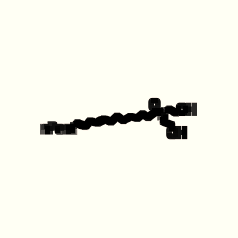 CCCCCC=CCC=CCCCCCCCC(=O)N(CCO)CCO